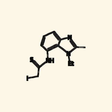 CCn1c(C)nc2cccc(NC(=S)CI)c21